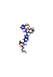 CCCC(=O)N[C@@H](c1cnn2cc([C@@H](NC(=O)c3nsnc3C)C3CCC(F)(F)CC3)nc2c1)C1CC1